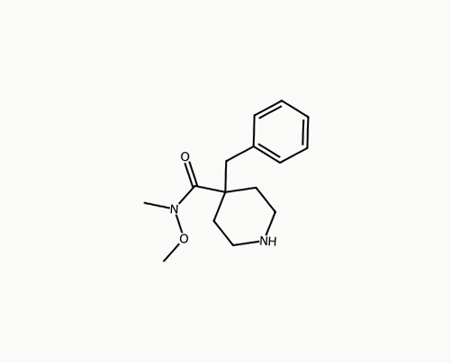 CON(C)C(=O)C1(Cc2ccccc2)CCNCC1